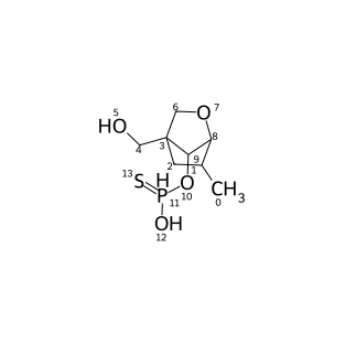 CC1CC2(CO)COC1C2O[PH](O)=S